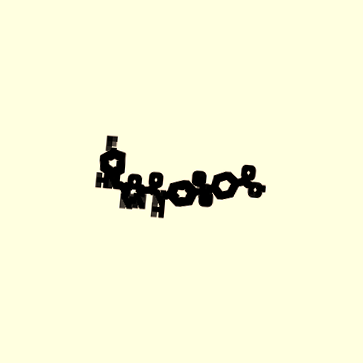 COC(=O)C1CCC(S(=O)(=O)c2ccc(NC(=O)c3nnc(Nc4ccc(F)cc4)o3)cc2)CC1